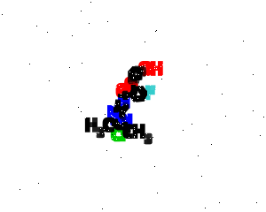 Cc1nc2c3c(nn2c(C)c1Cl)CN(C(=O)c1ccc(F)cc1O[C@@H]1CC[C@@H](O)C1)C3